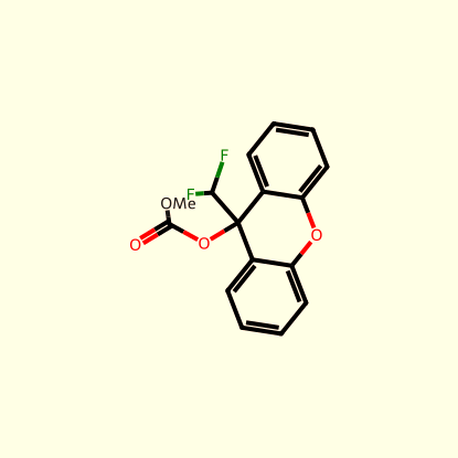 COC(=O)OC1(C(F)F)c2ccccc2Oc2ccccc21